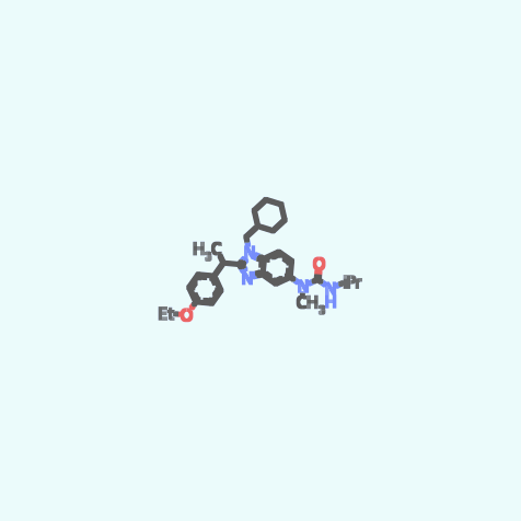 CCOc1ccc(C(C)c2nc3cc(N(C)C(=O)NC(C)C)ccc3n2CC2CCCCC2)cc1